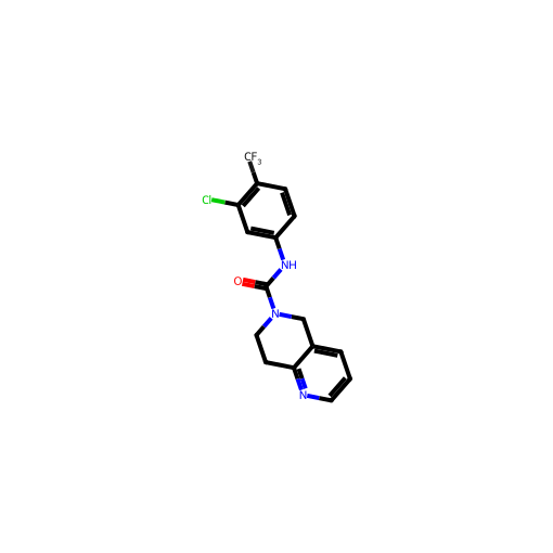 O=C(Nc1ccc(C(F)(F)F)c(Cl)c1)N1CCc2ncccc2C1